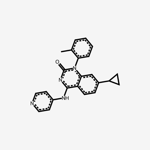 Cc1ccccc1-n1c(=O)nc(Nc2ccncc2)c2ccc(C3CC3)cc21